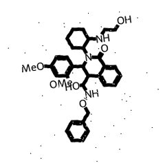 COc1ccc(C2C(C(O)NOCc3ccccc3)c3ccccc3C(=O)N2C2CCCCC2NCCO)c(OC)c1